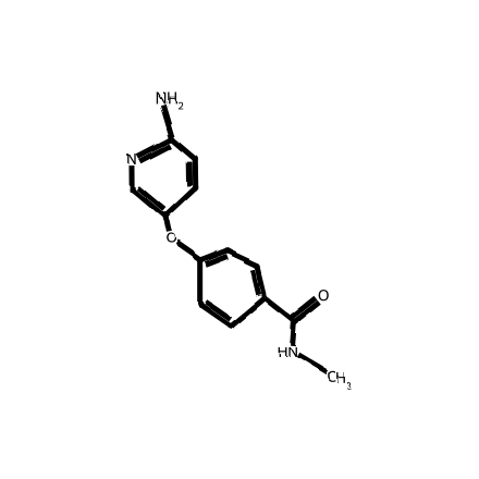 CNC(=O)c1ccc(Oc2ccc(N)nc2)cc1